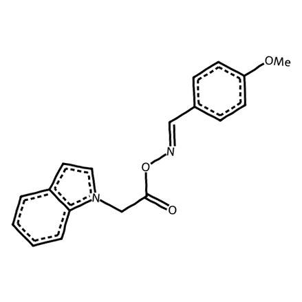 COc1ccc(C=NOC(=O)Cn2ccc3ccccc32)cc1